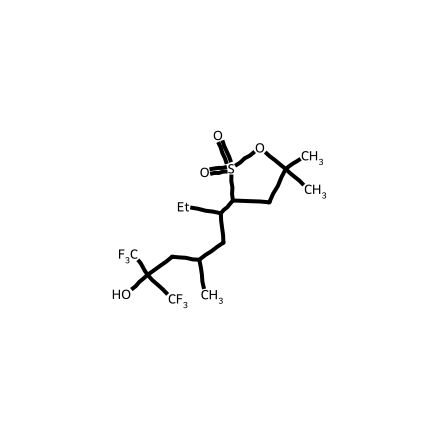 CCC(CC(C)CC(O)(C(F)(F)F)C(F)(F)F)C1CC(C)(C)OS1(=O)=O